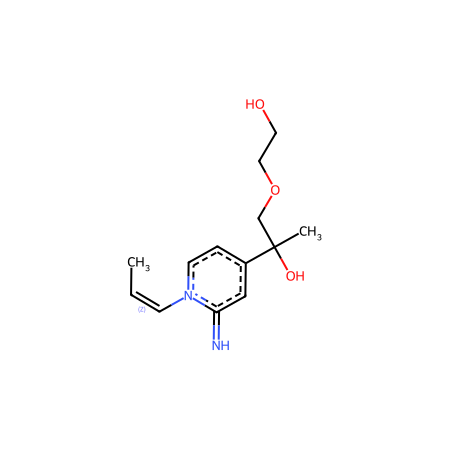 C/C=C\n1ccc(C(C)(O)COCCO)cc1=N